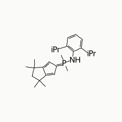 CC(C)c1cccc(C(C)C)c1NP(C)(C)=C1C=C2C(=C1)C(C)(C)CC2(C)C